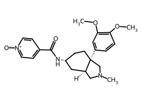 COc1ccc([C@@]23CC[C@@H](NC(=O)c4cc[n+]([O-])cc4)C[C@@H]2CN(C)C3)cc1OC